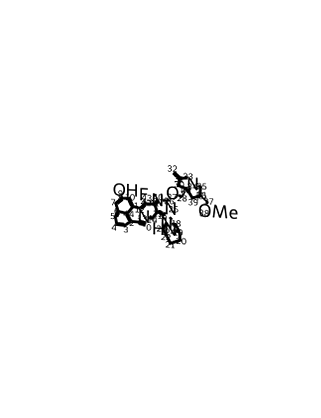 C#Cc1cccc2cc(O)cc(-c3ncc4c(N5CC6CCC(C5)N6)nc(OC[C@@]56CC(=C)CN5C[C@@H](COC)C6)nc4c3F)c12